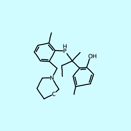 CCC(C)(Pc1c(C)cccc1CN1CCCCC1)c1cc(C)ccc1O